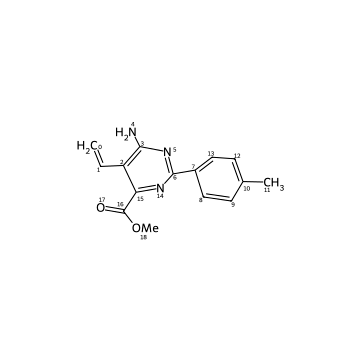 C=Cc1c(N)nc(-c2ccc(C)cc2)nc1C(=O)OC